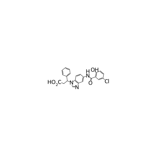 O=C(O)CC(c1ccccc1)n1cnc2cc(NC(=O)c3cc(Cl)ccc3O)ccc21